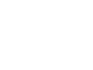 C=C1/C=C\C(Br)=C/Cc2cccc(-c3cccc4c3oc3ccccc34)c2S1